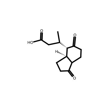 CC(CC(=O)O)[C@@H]1C(=O)CCC2C(=O)CC[C@H]21